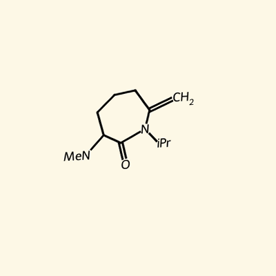 C=C1CCCC(NC)C(=O)N1C(C)C